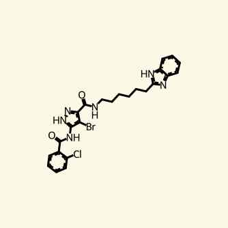 O=C(Nc1[nH]nc(C(=O)NCCCCCCc2nc3ccccc3[nH]2)c1Br)c1ccccc1Cl